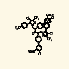 COc1cc(N2CCN(C(Cn3nc(C(F)(F)F)c(Cl)c3-c3ccc(C(F)(F)F)cc3)C(=O)C(Cn3nc(C(F)(F)F)c(Cl)c3-c3ccc(C(F)(F)F)cc3)N3CCN(c4ccc(Cl)c(OC)c4)CC3)CC2)ccc1Cl